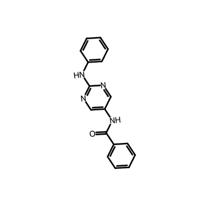 O=C(Nc1cnc(Nc2ccccc2)nc1)c1ccccc1